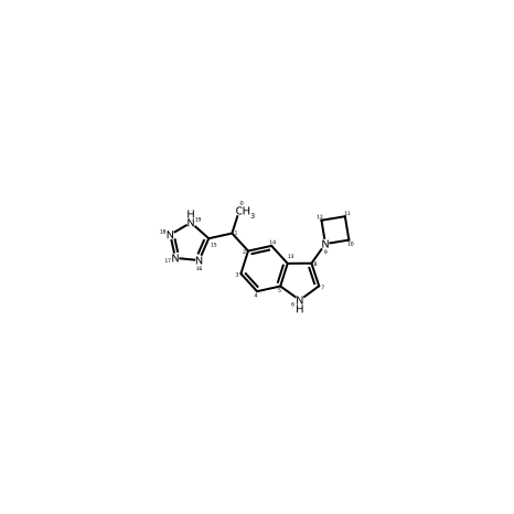 CC(c1ccc2[nH]cc(N3CCC3)c2c1)c1nnn[nH]1